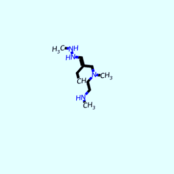 CC/C(=C\NNC)CN(C)CCNC